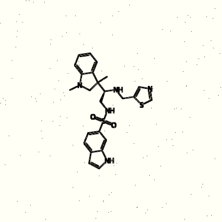 CN1CC(C)([C@H](CNS(=O)(=O)c2ccc3cc[nH]c3c2)NCc2cncs2)c2ccccc21